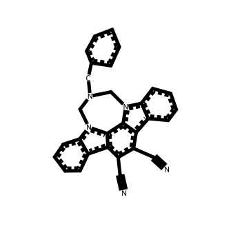 N#Cc1c(C#N)c2c3ccccc3n3c2c2c1c1ccccc1n2CN(Cc1ccccc1)C3